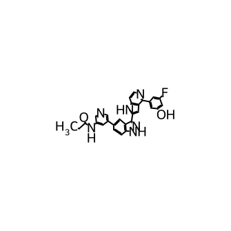 CCC(=O)Nc1cncc(-c2ccc3[nH]nc(-c4cc5c(-c6cc(O)cc(F)c6)nccc5[nH]4)c3c2)c1